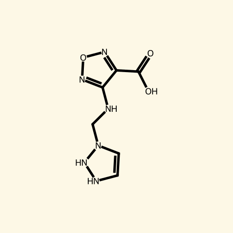 O=C(O)c1nonc1NCN1C=CNN1